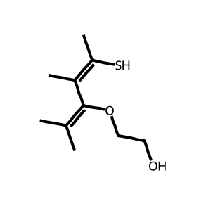 CC(C)=C(OCCO)/C(C)=C(/C)S